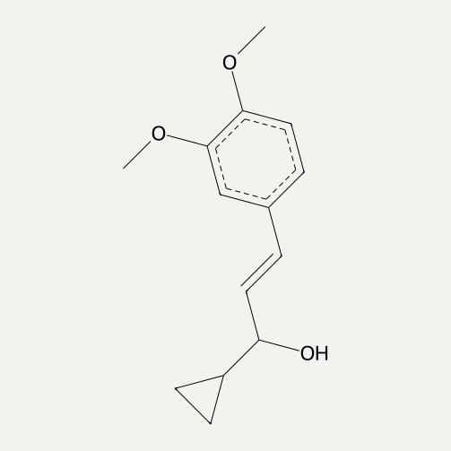 COc1ccc(C=CC(O)C2CC2)cc1OC